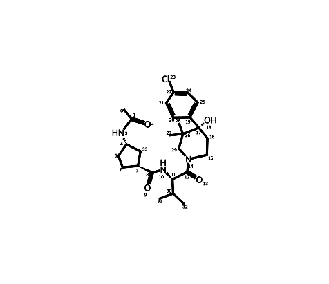 CC(=O)N[C@H]1CC[C@H](C(=O)N[C@@H](C(=O)N2CC[C@](O)(c3ccc(Cl)cc3)C(C)(C)C2)C(C)C)C1